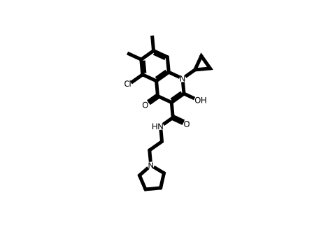 Cc1cc2c(c(Cl)c1C)c(=O)c(C(=O)NCCN1CCCC1)c(O)n2C1CC1